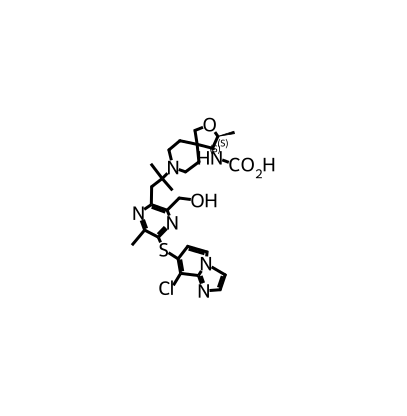 Cc1nc(CC(C)(C)N2CCC3(CC2)CO[C@@H](C)[C@H]3NC(=O)O)c(CO)nc1Sc1ccn2ccnc2c1Cl